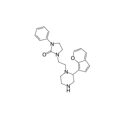 O=C1N(CCN2CCNCC2c2ccc3cccoc2-3)CCN1c1ccccc1